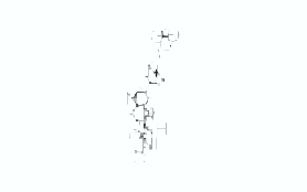 CS(=O)(=O)OCCCn1cc(-c2cnc3ccc(NC(=O)NC4CCCC4)nc3c2)cn1